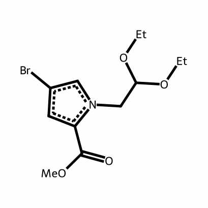 CCOC(Cn1cc(Br)cc1C(=O)OC)OCC